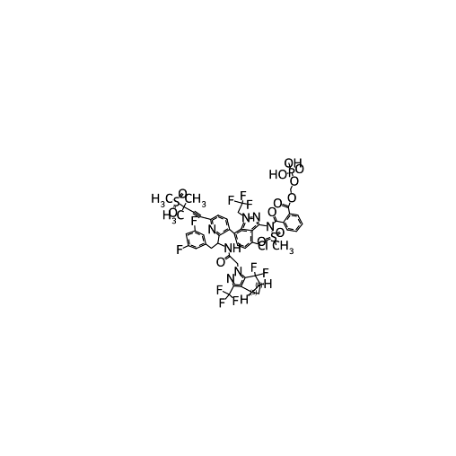 CC(C)(C#Cc1ccc(-c2ccc(Cl)c3c(N(C(=O)c4ccccc4C(=O)OCOP(=O)(O)O)S(C)(=O)=O)nn(CC(F)(F)F)c23)c(C(Cc2cc(F)cc(F)c2)NC(=O)Cn2nc(C(F)(F)F)c3c2C(F)(F)[C@@H]2C[C@H]32)n1)S(C)(=O)=O